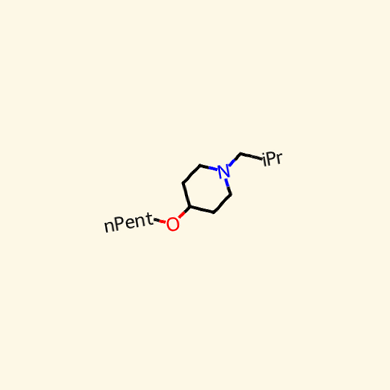 CCCCCOC1CCN(CC(C)C)CC1